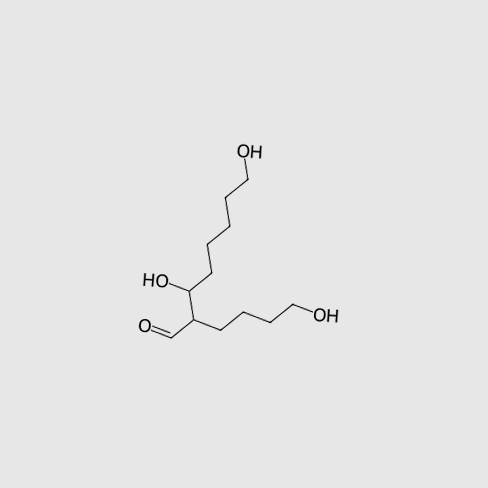 O=CC(CCCCO)C(O)CCCCCO